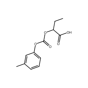 CCC(OC(=O)Oc1cccc(C)c1)C(=O)O